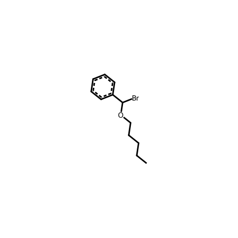 CCCCCOC(Br)c1ccccc1